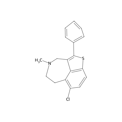 CN1CCc2c(Cl)ccc3sc(-c4ccccc4)c(c23)C1